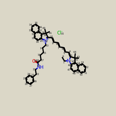 CCN1C(=CC=CC=CC=CC2=[N+](CCCCCC(=O)NCCc3ccccc3)c3ccc4ccccc4c3C2(C)C)C(C)(C)c2c1ccc1ccccc21.[Cl-]